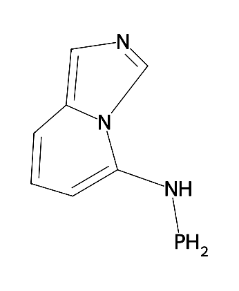 PNc1cccc2cncn12